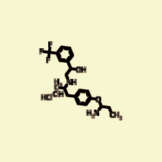 CCC(N)Oc1ccc(CC(C)NCC(O)c2cccc(C(F)(F)F)c2)cc1.Cl.Cl